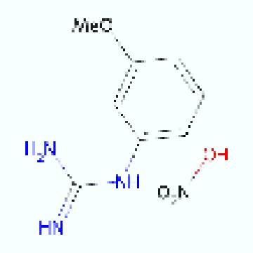 COc1cccc(NC(=N)N)c1.O=[N+]([O-])O